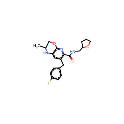 CC1COc2nc(C(=O)NCC3CCCO3)c(Cc3ccc(F)cc3)cc2N1